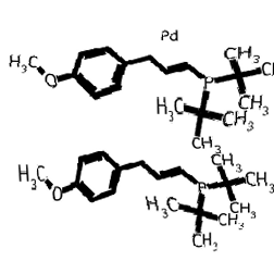 COc1ccc(CC=CP(C(C)(C)C)C(C)(C)C)cc1.COc1ccc(CC=CP(C(C)(C)C)C(C)(C)C)cc1.[Pd]